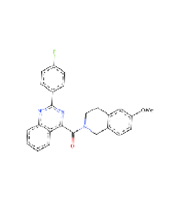 COc1ccc2c(c1)CCN(C(=O)c1nc(-c3ccc(F)cc3)nc3ccccc13)C2